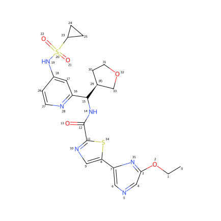 CCOc1cncc(-c2cnc(C(=O)NC(c3cc(NS(=O)(=O)C4CC4)ccn3)[C@H]3CCOC3)s2)n1